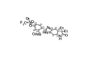 CCC1(CC)C(=O)Nc2cc3[nH]c(-c4ccc(OS(=O)(=O)C(F)(F)F)cc4OC)nc3cc21